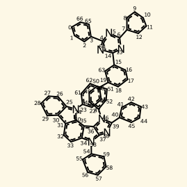 c1ccc(-c2nc(-c3ccccc3)nc(-c3cccc(-c4ccc(-n5c6ccccc6c6ccc7c(c8c(nc(-c9ccccc9)n8-c8ccccc8)n7-c7ccccc7)c65)cc4)c3)n2)cc1